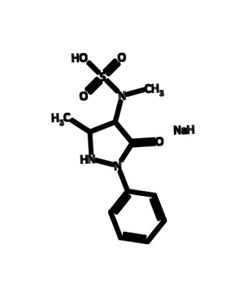 CC1NN(c2ccccc2)C(=O)C1N(C)S(=O)(=O)O.[NaH]